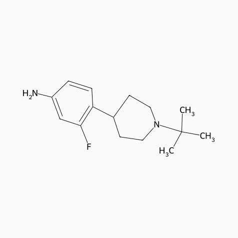 CC(C)(C)N1CCC(c2ccc(N)cc2F)CC1